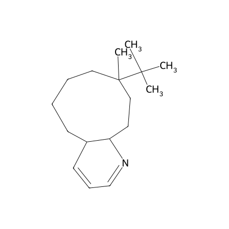 CC(C)(C)C1(C)CCCCC2C=CC=NC2CC1